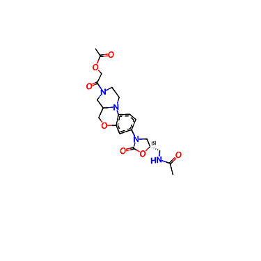 CC(=O)NC[C@H]1CN(c2ccc3c(c2)OCC2CN(C(=O)COC(C)=O)CCN32)C(=O)O1